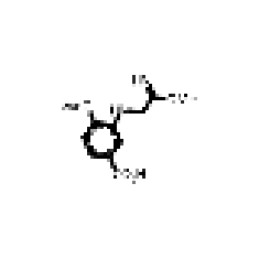 COC(=N)CNc1cc(C(=O)O)ccc1OC